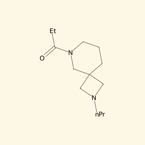 CCCN1CC2(CCCN(C(=O)CC)C2)C1